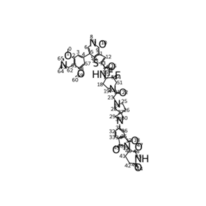 COc1cc(-c2cn(C)c(=O)c3cc(C(=O)NC4CCN(C(=O)CN5CCC6(C5)CN(c5ccc7c(c5)C(=O)N(C5CCC(=O)NC5=O)C7=O)C6)CC4(F)F)sc23)cc(OC)c1CN(C)C